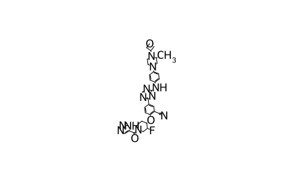 C[C@H]1CN(c2ccc(Nc3ncnc(-c4ccc(O[C@H]5CCN(C(=O)c6cnn[nH]6)C[C@@H]5F)c(C#N)c4)n3)cc2)CCN1C1COC1